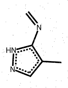 C=Nc1[nH]ncc1C